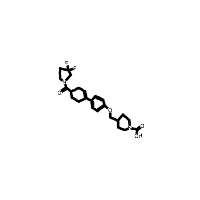 O=C(O)N1CCC(COc2ccc(C3=CCC(C(=O)N4CCC(F)(F)C4)CC3)cc2)CC1